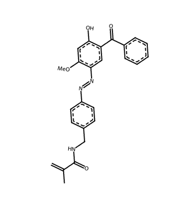 C=C(C)C(=O)NCc1ccc(/N=N/c2cc(C(=O)c3ccccc3)c(O)cc2OC)cc1